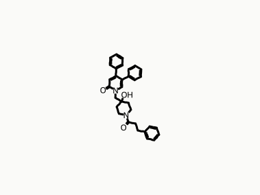 O=C(CCc1ccccc1)N1CCC(O)(Cn2cc(-c3ccccc3)c(-c3ccccc3)cc2=O)CC1